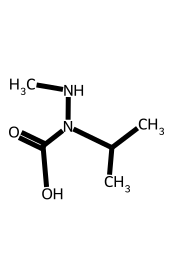 CNN(C(=O)O)C(C)C